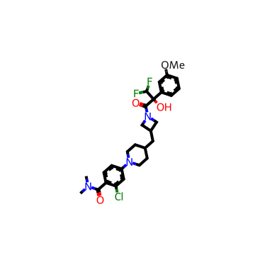 COc1cccc(C(O)(C(=O)N2CC(CC3CCN(c4ccc(C(=O)N(C)C)c(Cl)c4)CC3)C2)C(F)F)c1